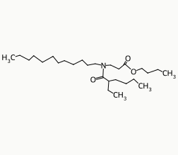 CCCCCCCCCCCCN(CCC(=O)OCCCC)C(=O)C(CC)CCCC